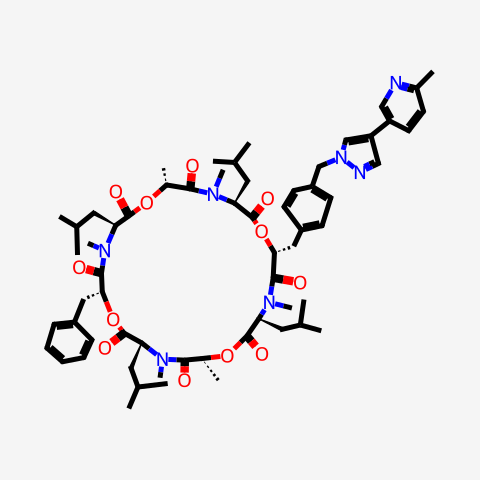 Cc1ccc(-c2cnn(Cc3ccc(C[C@H]4OC(=O)[C@H](CC(C)C)N(C)C(=O)[C@@H](C)OC(=O)[C@H](CC(C)C)N(C)C(=O)[C@@H](Cc5ccccc5)OC(=O)[C@H](CC(C)C)N(C)C(=O)[C@@H](C)OC(=O)[C@H](CC(C)C)N(C)C4=O)cc3)c2)cn1